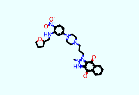 Cn1[nH]c2c(=O)c3ccccc3c(=O)c=2n1CCCN1CCN(c2ccc([N+](=O)[O-])c(NCC3CCCO3)c2)CC1